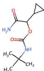 CC(C)(C)NC(=O)OC(C(N)=O)C1CC1